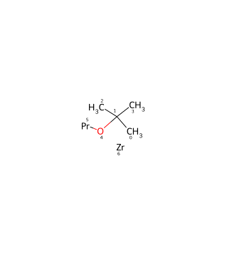 CC(C)(C)[O][Pr].[Zr]